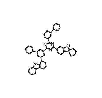 c1ccc(-c2cccc(-c3nc(-c4cc(-c5ccccc5)cc(-c5cccc6c5sc5ccccc56)c4)nc(-c4ccc5c(c4)oc4ccccc45)n3)c2)cc1